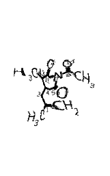 C=C(C)CC1C(=O)N(C(C)=O)C(=O)C1C